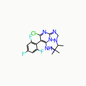 CC(N1CN=C2N=C(Cl)C(c3c(F)cc(F)cc3F)=C(N)N21)C(C)(C)C